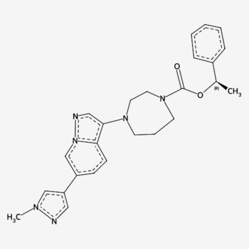 C[C@@H](OC(=O)N1CCCN(c2cnn3cc(-c4cnn(C)c4)ccc23)CC1)c1ccccc1